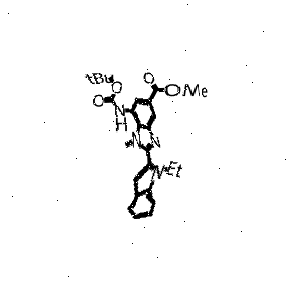 CCn1c(-c2nc3cc(C(=O)OC)cc(NC(=O)OC(C)(C)C)c3n2C)cc2ccccc21